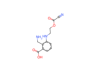 N#CC(=O)OCCNc1cccc(C(=O)O)c1CN